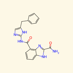 NC(=O)c1nc2c(C(=O)Nc3ncc(Cc4ccccc4)[nH]3)cccc2[nH]1